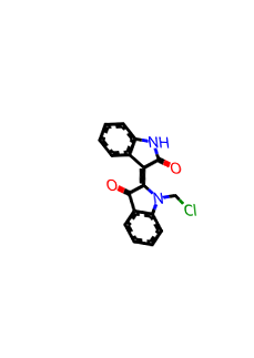 O=C1Nc2ccccc2/C1=C1\C(=O)c2ccccc2N1CCl